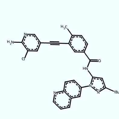 Cc1ccc(C(=O)Nc2cc(C(C)(C)C)nn2-c2ccc3ncccc3c2)cc1C#Cc1cnc(N)c(Cl)c1